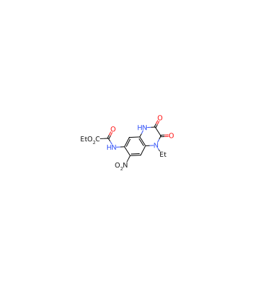 CCOC(=O)C(=O)Nc1cc2[nH]c(=O)c(=O)n(CC)c2cc1[N+](=O)[O-]